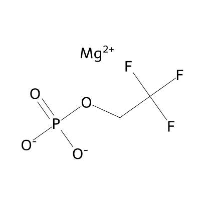 O=P([O-])([O-])OCC(F)(F)F.[Mg+2]